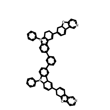 C1=CC2C(C=C1C1C=Cc3c(oc4ccncc34)C1)c1cc(-c3cccc(-c4ccc5c(c4)c4c(n5-c5ccccc5)CCC(C5=CC=C6c7cnccc7OC6C5)=C4)c3)ccc1N2c1ccccc1